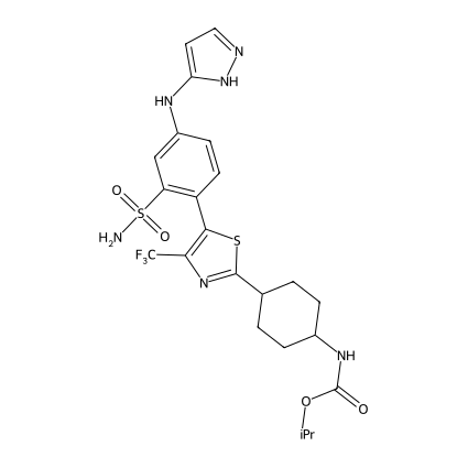 CC(C)OC(=O)NC1CCC(c2nc(C(F)(F)F)c(-c3ccc(Nc4ccn[nH]4)cc3S(N)(=O)=O)s2)CC1